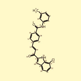 Cc1cccc(NC(=O)c2ccc(C=CC(=O)c3nc4cccc(Cl)c4[nH]3)cc2)c1